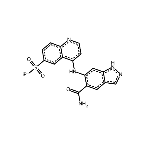 CC(C)S(=O)(=O)c1ccc2nccc(Nc3cc4[nH]ncc4cc3C(N)=O)c2c1